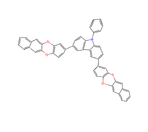 c1ccc(-n2c3ccc(-c4ccc5c(c4)Oc4cc6ccccc6cc4O5)cc3c3cc(-c4ccc5c(c4)Oc4cc6ccccc6cc4O5)ccc32)cc1